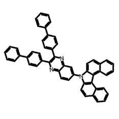 c1ccc(-c2ccc(-c3nc4ccc(-n5c6ccc7ccccc7c6c6c7ccccc7ccc65)cc4nc3-c3ccc(-c4ccccc4)cc3)cc2)cc1